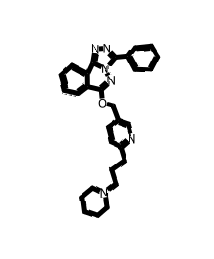 c1ccc(-c2nnc3c4ccccc4c(OCc4ccc(CCCN5CCCCC5)nc4)nn23)cc1